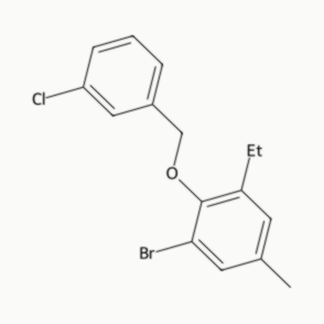 CCc1cc(C)cc(Br)c1OCc1cccc(Cl)c1